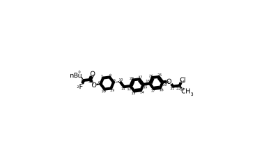 CCCC[C@@H](F)C(=O)O[C@H]1CC[C@H](CCc2ccc(-c3ccc(OC[C@H](C)Cl)cc3)cc2)CC1